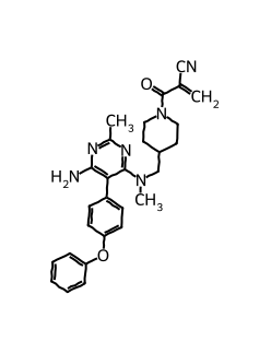 C=C(C#N)C(=O)N1CCC(CN(C)c2nc(C)nc(N)c2-c2ccc(Oc3ccccc3)cc2)CC1